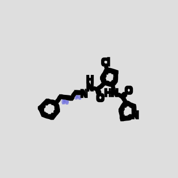 O=C(Nc1ccc(Cl)cc1C(=O)N/N=C/C=C/c1ccccc1)c1cccnc1